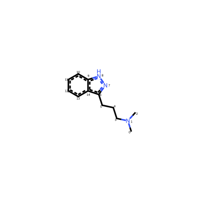 CN(C)CCCc1n[nH]c2cc[c]cc12